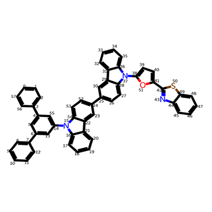 c1ccc(-c2cc(-c3ccccc3)cc(-n3c4ccccc4c4cc(-c5ccc6c(c5)c5ccccc5n6-c5ccc(-c6nc7ccccc7s6)o5)ccc43)c2)cc1